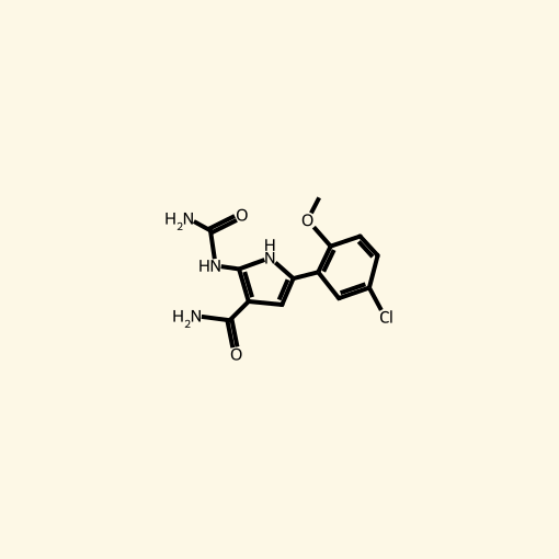 COc1ccc(Cl)cc1-c1cc(C(N)=O)c(NC(N)=O)[nH]1